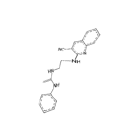 C=C(NCCNc1nc2ccccc2cc1C#N)Nc1ccccc1